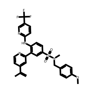 C=C(C)c1ccnc(-c2cc(S(=O)(=O)N(C)Cc3ccc(OC)cc3)ccc2Nc2ccc(C(F)(F)F)cn2)c1